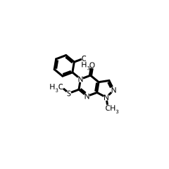 CSc1nc2c(cnn2C)c(=O)n1-c1ccccc1C